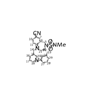 CNS(=O)(=O)N1Cc2cc(C#N)ccc2N(Cc2cccnc2)C[C@H]1Cc1ccccc1